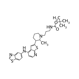 CC1C(c2cc3c(Nc4ccc5scnc5c4)ccnc3s2)CCCN1CCCNC(=O)OC(C)(C)C